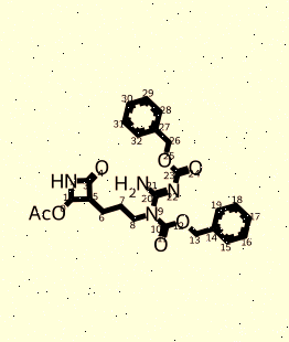 CC(=O)OC1NC(=O)C1CCCN(C(=O)OCc1ccccc1)C(N)=NC(=O)OCc1ccccc1